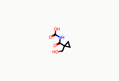 O=C(O)NC(=O)C1(CO)CC1